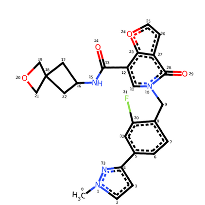 Cn1ccc(-c2ccc(Cn3cc(C(=O)NC4CC5(COC5)C4)c4occc4c3=O)c(F)c2)n1